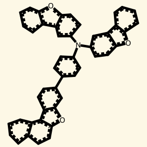 c1ccc2c(c1)ccc1oc3cc(-c4ccc(N(c5ccc6oc7ccccc7c6c5)c5ccc6oc7ccccc7c6c5)cc4)ccc3c12